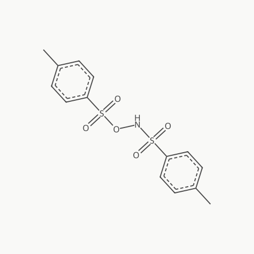 Cc1ccc(S(=O)(=O)NOS(=O)(=O)c2ccc(C)cc2)cc1